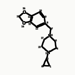 [CH]1CC1N1CCN(Cc2ccc3c(c2)OCO3)CC1